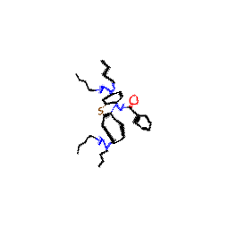 CCCCN(CCCC)c1ccc2c(c1)Sc1cc(N(CCCC)CCCC)ccc1N2C(=O)c1ccccc1